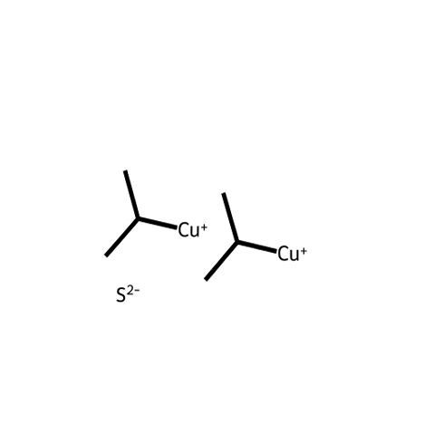 C[CH](C)[Cu+].C[CH](C)[Cu+].[S-2]